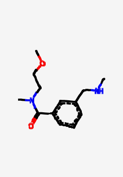 CNCc1cccc(C(=O)N(C)CCOC)c1